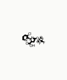 O=C(O)C1CC(OS(=O)(=O)C(F)(F)F)=NN1c1ncccc1Cl